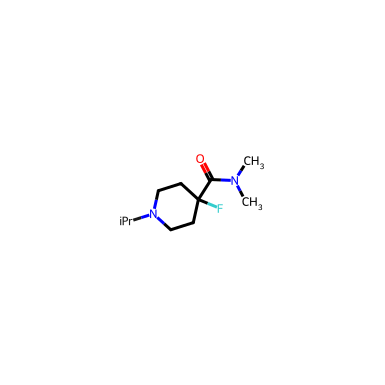 CC(C)N1CCC(F)(C(=O)N(C)C)CC1